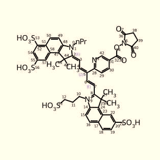 CCCN1/C(=C/C=C(/C=C/C2=[N+](CCCS(=O)(=O)O)c3ccc4ccc(S(=O)(=O)O)cc4c3C2(C)C)c2ccc(C(=O)ON3C(=O)CCC3=O)cn2)C(C)(C)c2c1ccc1c(S(=O)(=O)O)cc(S(=O)(=O)O)cc21